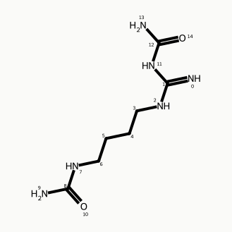 N=C(NCCCCNC(N)=O)NC(N)=O